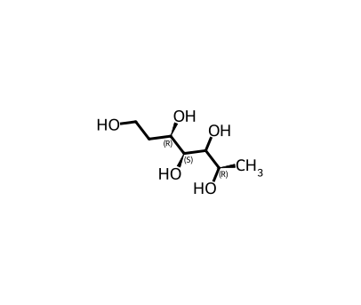 C[C@@H](O)C(O)[C@@H](O)[C@H](O)CCO